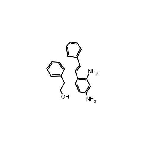 Nc1ccc(C=Cc2ccccc2)c(N)c1.OCCc1ccccc1